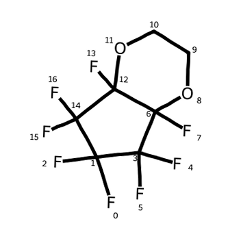 FC1(F)C(F)(F)C2(F)OCCOC2(F)C1(F)F